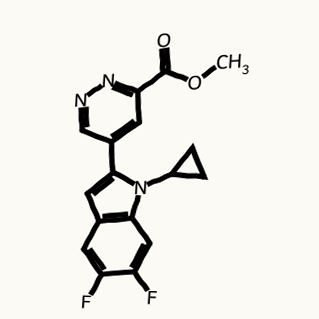 COC(=O)c1cc(-c2cc3cc(F)c(F)cc3n2C2CC2)cnn1